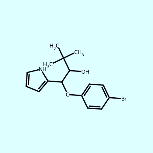 CC(C)(C)C(O)C(Oc1ccc(Br)cc1)c1ccc[nH]1